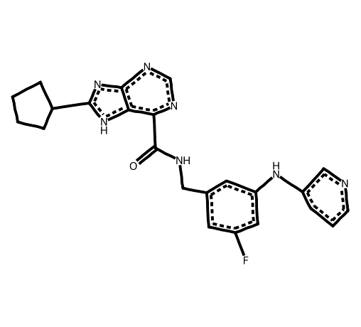 O=C(NCc1cc(F)cc(Nc2cccnc2)c1)c1ncnc2nc(C3CCCC3)[nH]c12